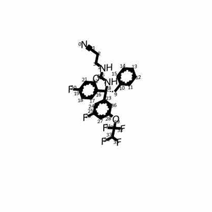 N#CCCNC(=O)N[C@](Cc1ccccc1)(c1ccc(F)cc1)c1cc(F)cc(OC(F)(F)C(F)F)c1